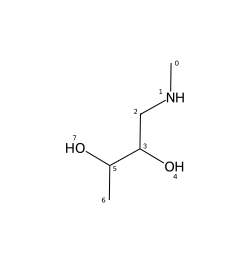 CNCC(O)C(C)O